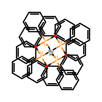 c1ccc([PH](c2ccccc2)(c2ccccc2)[RuH]([PH](c2ccccc2)(c2ccccc2)c2ccccc2)([PH](c2ccccc2)(c2ccccc2)c2ccccc2)[PH](c2ccccc2)(c2ccccc2)c2ccccc2)cc1